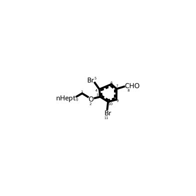 CCCCCCCCOc1c(Br)cc(C=O)cc1Br